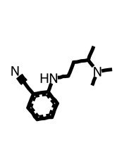 CC(CCNc1ccccc1C#N)N(C)C